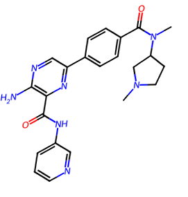 CN1CCC(N(C)C(=O)c2ccc(-c3cnc(N)c(C(=O)Nc4cccnc4)n3)cc2)C1